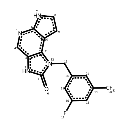 O=c1[nH]c2cnc3[nH]ccc3c2n1Cc1cc(F)cc(C(F)(F)F)c1